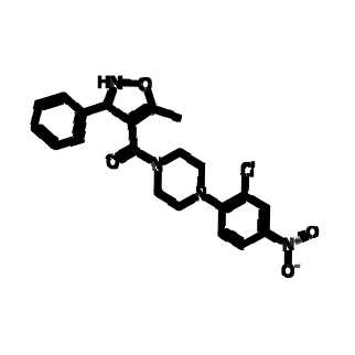 CC1=C(C(=O)N2CCN(c3ccc([N+](=O)[O-])cc3Cl)CC2)C(c2ccccc2)NO1